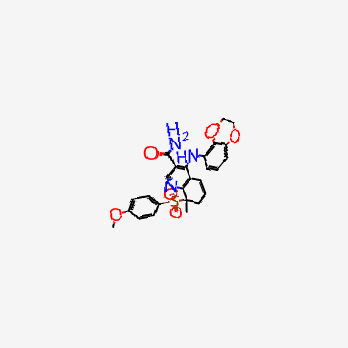 COc1ccc(S(=O)(=O)C2(C)CC=Cc3c2ncc(C(N)=O)c3Nc2cccc3c2OCCO3)cc1